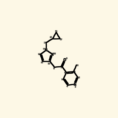 Cc1cnccc1C(=O)Cc1ccn(CC2CC2)n1